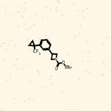 CC(C)(C)OC(=O)N1CC(c2cccc(C3(C(F)(F)F)CC3)c2)C1